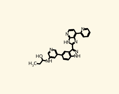 CCC(O)Nc1cncc(-c2ccc3[nH]nc(-c4nc5c(-c6ccccn6)ccnc5[nH]4)c3c2)c1